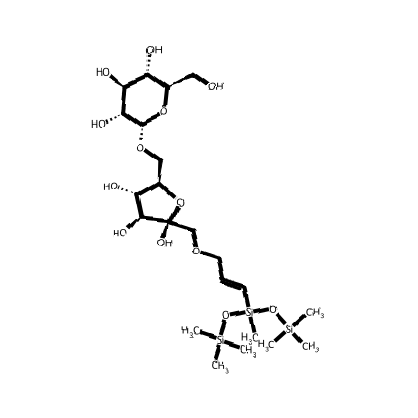 C[Si](C)(C)O[Si](C)(C=CCOC[C@@]1(O)O[C@H](CO[C@H]2O[C@H](CO)[C@@H](O)[C@H](O)[C@H]2O)[C@@H](O)[C@@H]1O)O[Si](C)(C)C